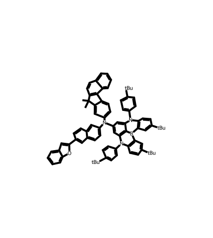 CC(C)(C)c1ccc(N2c3ccc(C(C)(C)C)cc3B3c4cc(C(C)(C)C)ccc4N(c4ccc(C(C)(C)C)cc4)c4cc(N(c5ccc6c(c5)C(C)(C)c5ccc7ccccc7c5-6)c5ccc6cc(-c7cc8ccccc8o7)ccc6c5)cc2c43)cc1